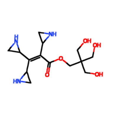 O=C(OCC(CO)(CO)CO)C(=C(C1CN1)C1CN1)C1CN1